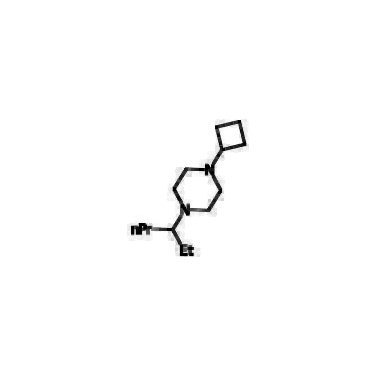 CCCC(CC)N1CCN(C2CCC2)CC1